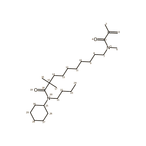 C=C(C)C(=O)N(C)CCCCCCCCC(C)(C)C(=O)N(CCCC)C1CCCCC1